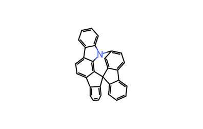 c1ccc2c(c1)-c1ccc3cc1C21c2ccccc2-c2ccc4c5ccccc5n-3c4c21